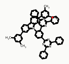 Cc1cc(C)cc(-c2ccc3c4ccc(-c5cc(C)cc(C)c5)cc4n(-c4ccc(-c5nc(-c6ccccc6)nc(-c6ccccc6)n5)cc4-c4cc(-c5ccccc5)nc(-c5ccccc5)n4)c3c2)c1